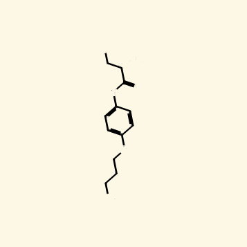 C[C@@H](CC(=O)O)C(=O)Nc1ccc(OCCCC(C)(C)C)cc1